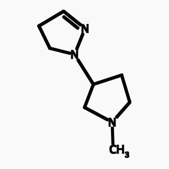 CN1CCC(N2CCC=N2)C1